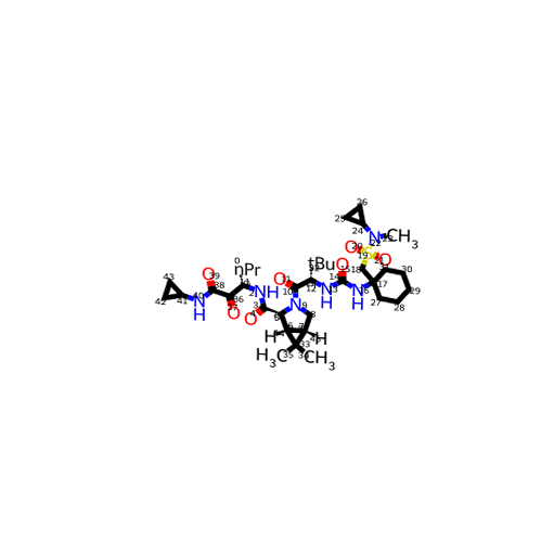 CCC[C@H](NC(=O)[C@@H]1[C@@H]2[C@H](CN1C(=O)[C@@H](NC(=O)NC1(CS(=O)(=O)N(C)C3CC3)CCCCC1)C(C)(C)C)C2(C)C)C(=O)C(=O)NC1CC1